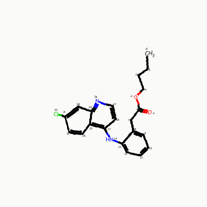 CCCCOC(=O)Cc1ccccc1Nc1ccnc2cc(Cl)ccc12